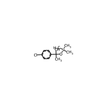 CC(C#N)(O[Si](C)(C)C)c1ccc(Cl)cc1